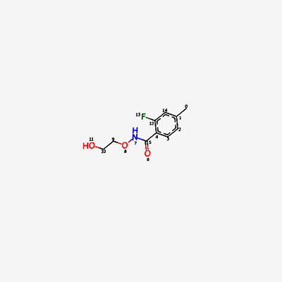 Cc1ccc(C(=O)NOCCO)c(F)c1